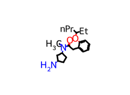 CCCC(CC)Oc1ccccc1CC(=O)N(C)[C@H]1CC[C@H](N)C1